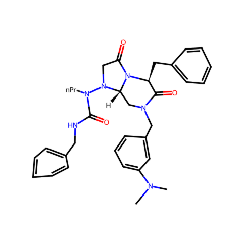 CCCN(C(=O)NCc1ccccc1)N1CC(=O)N2[C@@H](Cc3ccccc3)C(=O)N(Cc3cccc(N(C)C)c3)C[C@@H]21